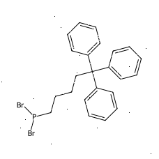 BrP(Br)CCCCC(c1ccccc1)(c1ccccc1)c1ccccc1